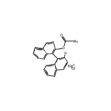 CCCCC(=O)Oc1ccc2ccccc2c1-c1c([O-])ccc2ccccc12.[Cl-].[Mg+2]